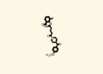 COc1ccc(C(=O)C2CCN(C(=O)CCCc3nc4c(F)cccc4c(=O)[nH]3)CC2)cc1